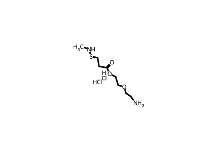 CNSCCC(=O)OCCOCCN.Cl.Cl